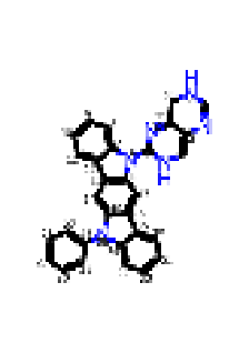 C1=NC2=CNC(n3c4ccccc4c4cc5c(cc43)c3ccccc3n5-c3ccccc3)N=C2CN1